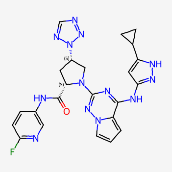 O=C(Nc1ccc(F)nc1)[C@@H]1C[C@H](n2ncnn2)CN1c1nc(Nc2cc(C3CC3)[nH]n2)c2cccn2n1